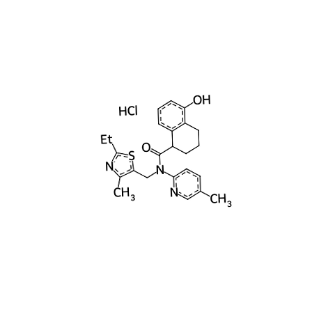 CCc1nc(C)c(CN(C(=O)C2CCCc3c(O)cccc32)c2ccc(C)cn2)s1.Cl